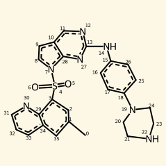 Cc1cc(S(=O)(=O)n2ccc3cnc(Nc4ccc(N5CCNCC5)cc4)nc32)c2ncccc2c1